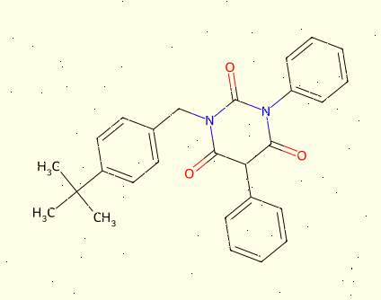 CC(C)(C)c1ccc(CN2C(=O)C(c3ccccc3)C(=O)N(c3ccccc3)C2=O)cc1